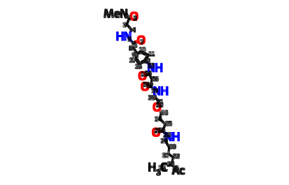 CNC(=O)CCNC(=O)Cc1ccc(NC(=O)CC(=O)NCCOCCCC(=O)NCCCCC(C)C(C)=O)cc1